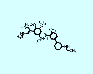 CCNC1CCCC(c2ccc(C)c(C(=O)N[C@H](C)c3cc(OC)c(OC)c(/C(C=N)=C/NC)c3)c2)C1